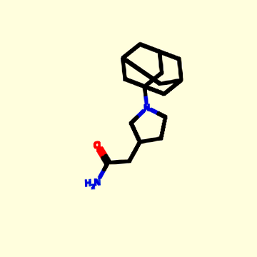 NC(=O)CC1CCN(C23CC4CC(CC(C4)C2)C3)C1